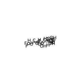 CC(=Cc1ccc(O[C@@H]2O[C@H](C(C)=CCOc3ccc(F)c(F)c3)C[C@@H]2F)c(O)c1)C(=O)N[C@@H]1[C@H](O)[C@@H](O)[C@H]2OCO[C@H]2[C@@H]1O